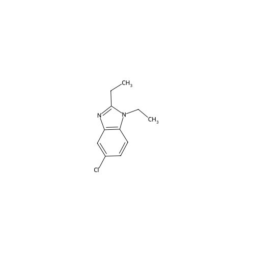 CCc1nc2cc(Cl)ccc2n1CC